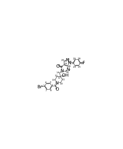 O=C(c1ccc(Br)cc1)N1CCC(O)(Cn2cnc3c(cnn3-c3ccc(F)cc3)c2=O)CC1